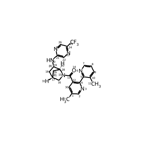 Cc1cnc(-c2ncccc2C)c(C(=O)N2C[C@@H]3C[C@@H](Nc4cnc(C(F)(F)F)cn4)[C@@H]2C3)c1